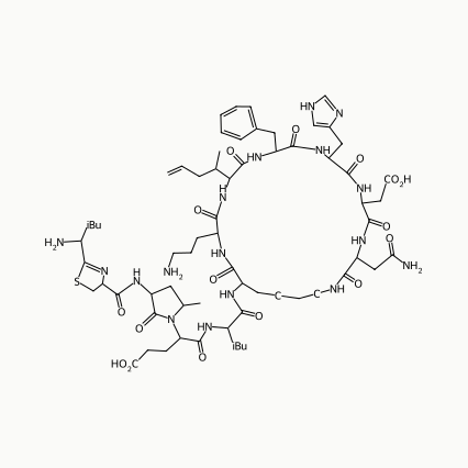 C=CCC(C)C1NC(=O)C(CCCN)NC(=O)C(NC(=O)C(NC(=O)C(CCC(=O)O)N2C(=O)C(NC(=O)C3CSC(C(N)C(C)CC)=N3)CC2C)C(C)CC)CCCCNC(=O)C(CC(N)=O)NC(=O)C(CC(=O)O)NC(=O)C(Cc2c[nH]cn2)NC(=O)C(Cc2ccccc2)NC1=O